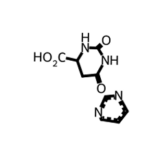 O=C1CC(C(=O)O)NC(=O)N1.c1cncnc1